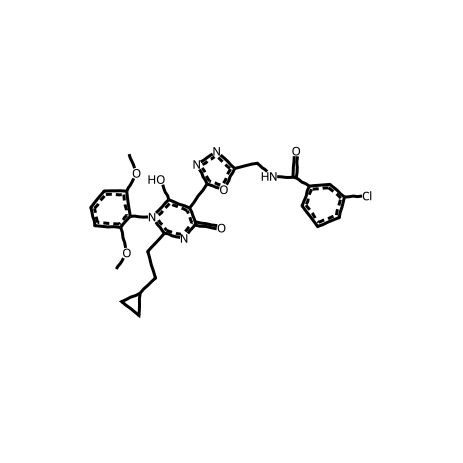 COc1cccc(OC)c1-n1c(CCC2CC2)nc(=O)c(-c2nnc(CNC(=O)c3cccc(Cl)c3)o2)c1O